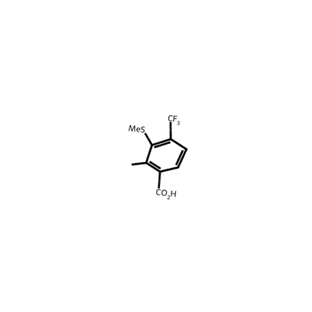 CSc1c(C(F)(F)F)ccc(C(=O)O)c1C